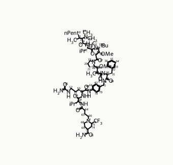 CCCCCC(C)C(C(=O)N[C@H](C(=O)N(C)[C@@H]([C@@H](C)CC)[C@@H](CC(=O)N1CCC[C@H]1[C@H](OC)[C@@H](C)C(=O)N[C@@H](Cc1ccccc1)C(=O)NCc1ccc(NC(=O)[C@H](CCCNC(N)=O)NC(=O)C(NC(=O)CCCN2CCC(C(N)=O)CC2C(F)(F)F)C(C)C)cc1)OC)C(C)C)N(C)C